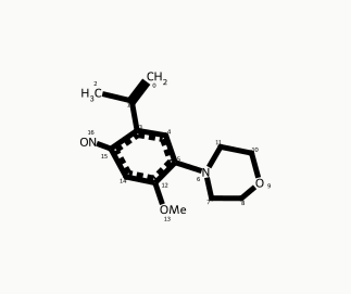 C=C(C)c1cc(N2CCOCC2)c(OC)cc1N=O